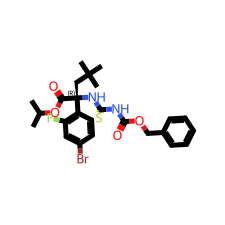 CC(C)OC(=O)[C@](CC(C)(C)C)(NC(=S)NC(=O)OCc1ccccc1)c1ccc(Br)cc1F